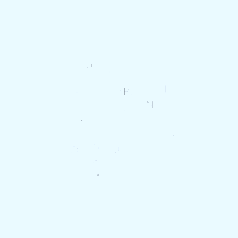 CCCC[N+]1(C)CCCCC1.Cc1ccc(S(=O)(=O)[O-])cc1